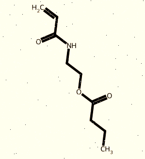 C=CC(=O)NCCOC(=O)CCC